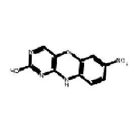 O=[N+]([O-])c1ccc2c(c1)Sc1cnc(O)nc1N2